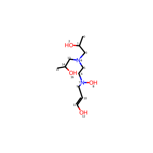 CC(O)CN(CCN(O)C/C=C/O)CC(C)O